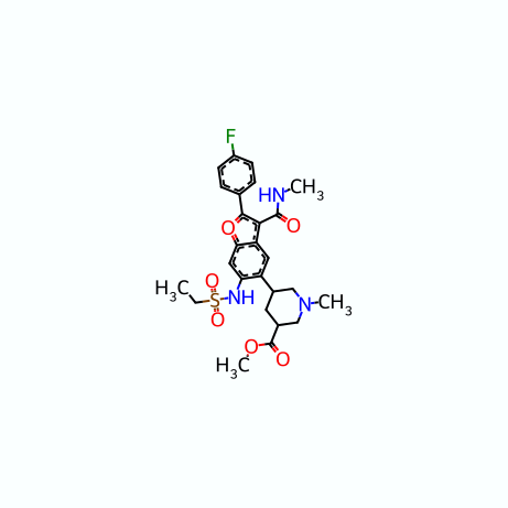 CCS(=O)(=O)Nc1cc2oc(-c3ccc(F)cc3)c(C(=O)NC)c2cc1C1CC(C(=O)OC)CN(C)C1